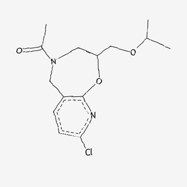 CC(=O)N1Cc2ccc(Cl)nc2OC(COC(C)C)C1